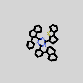 c1ccc(-c2ccc3ccccc3c2-c2nc(-c3ccccc3-c3cccc4ccccc34)nc(-c3cccc4c3sc3ccccc34)n2)cc1